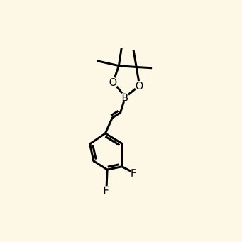 CC1(C)OB(/C=C/c2ccc(F)c(F)c2)OC1(C)C